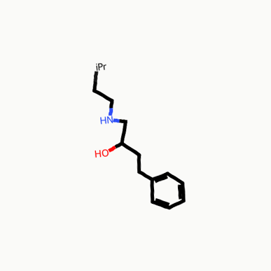 CC(C)CCNCC(O)CCc1ccccc1